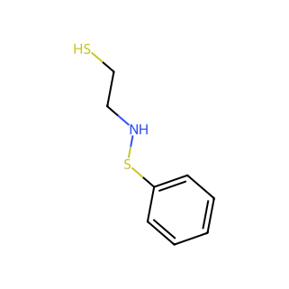 SCCNSc1ccccc1